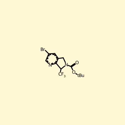 CC(C)(C)OC(=O)N1Cc2cc(Br)cnc2C1C(F)(F)F